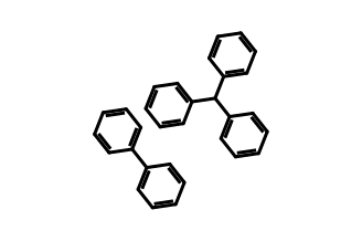 c1ccc(-c2ccccc2)cc1.c1ccc(C(c2ccccc2)c2ccccc2)cc1